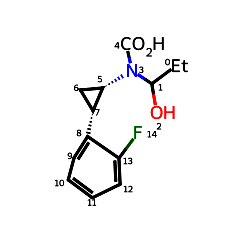 CCC(O)N(C(=O)O)[C@H]1C[C@H]1c1ccccc1F